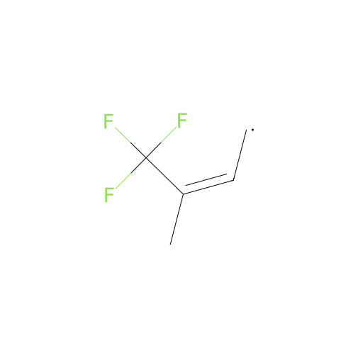 [CH2]C=C(C)C(F)(F)F